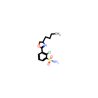 CCCCC1COC(c2cccc(S(N)(=O)=O)c2Cl)=N1